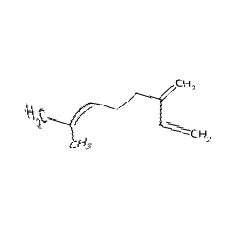 [CH2]C(C)=CCCC(=C)C=C